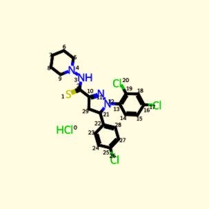 Cl.S=C(NN1CCCCC1)C1=NN(c2ccc(Cl)cc2Cl)C(c2ccc(Cl)cc2)C1